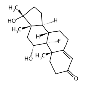 C[C@]12CCC(=O)C=C1CC[C@H]1[C@@H]3CC[C@@](C)(O)[C@@]3(C)C[C@@H](O)[C@@]12F